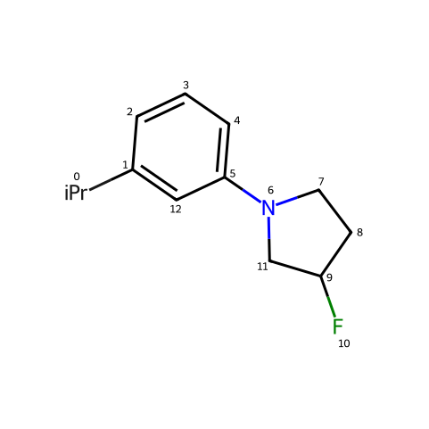 CC(C)c1cccc(N2CCC(F)C2)c1